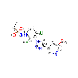 CCS(=O)(=O)Nc1ccc(Cl)c(-n2cc(-c3cncc(OC)c3)nn2)c1F